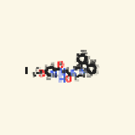 COc1ccc(C(=O)NCC(=O)N2CCN(c3ccccc3-c3ccccc3)CC2)nc1